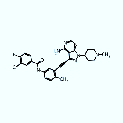 Cc1ccc(NC(=O)c2ccc(F)c(Cl)c2)cc1C#Cc1nn(C2CCN(C)CC2)c2ncnc(N)c12